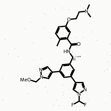 COCn1cc(-c2cc(-c3cnn(C(F)F)c3)cc([C@@H](C)NC(=O)c3cc(OCCN(C)C)ccc3C)c2)cn1